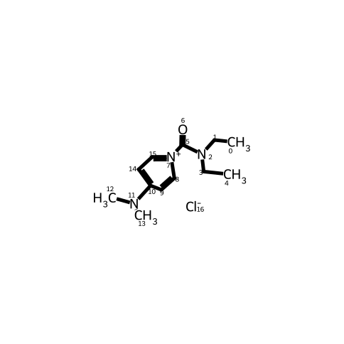 CCN(CC)C(=O)[n+]1ccc(N(C)C)cc1.[Cl-]